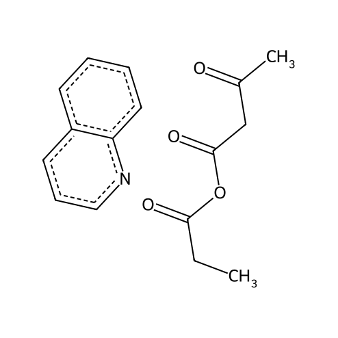 CCC(=O)OC(=O)CC(C)=O.c1ccc2ncccc2c1